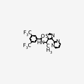 CC(NC(=O)c1cc(C(F)(F)F)cc(C(F)(F)F)c1)c1scnc1-c1ncccn1